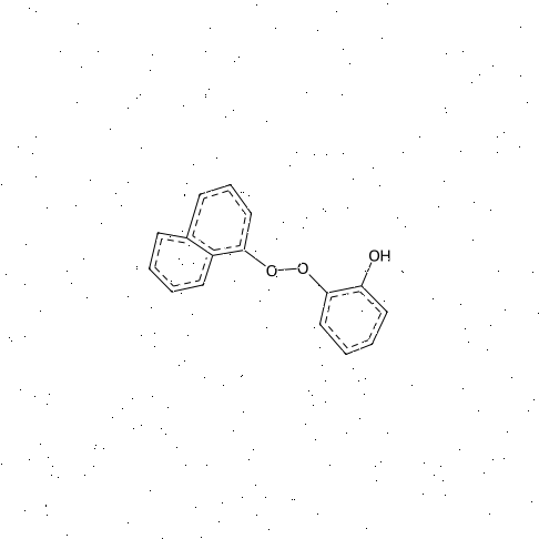 Oc1ccccc1OOc1cccc2ccccc12